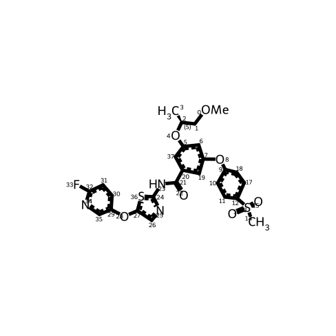 COC[C@H](C)Oc1cc(Oc2ccc(S(C)(=O)=O)cc2)cc(C(=O)Nc2ncc(Oc3ccc(F)nc3)s2)c1